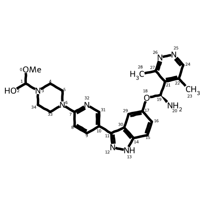 COC(O)N1CCN(c2ccc(-c3n[nH]c4ccc(O[C@H](N)c5c(C)cnnc5C)cc34)cn2)CC1